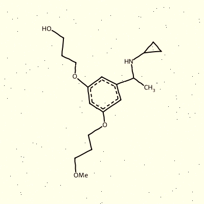 COCCCOc1cc(OCCCO)cc(C(C)NC2CC2)c1